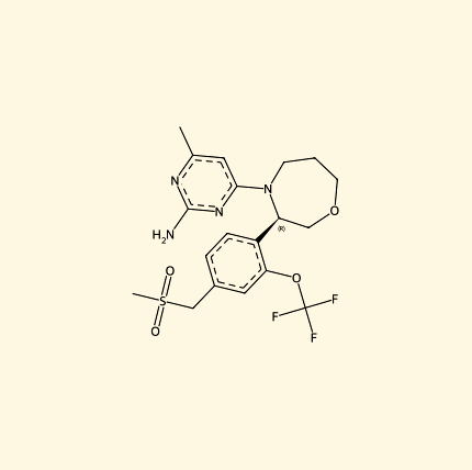 Cc1cc(N2CCCOC[C@H]2c2ccc(CS(C)(=O)=O)cc2OC(F)(F)F)nc(N)n1